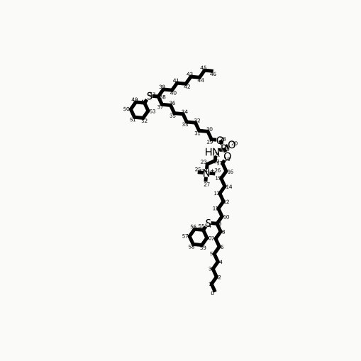 CCCCCCCCCC(CCCCCCCCOP(=O)(NCC[N+](C)(C)C)OCCCCCCCCCC(CCCCCCCC)SC1CCCCC1)SC1CCCCC1